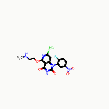 CNCCOc1nc(Cl)cc2c1c(=O)[nH]c(=O)n2-c1cc([N+](=O)[O-])ccc1F.Cl